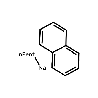 CCCC[CH2][Na].c1ccc2ccccc2c1